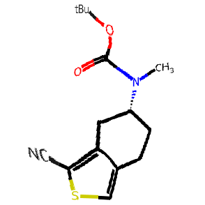 CN(C(=O)OC(C)(C)C)[C@@H]1CCc2csc(C#N)c2C1